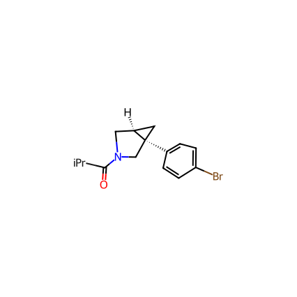 CC(C)C(=O)N1C[C@H]2C[C@@]2(c2ccc(Br)cc2)C1